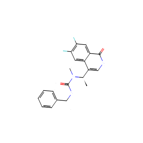 C[C@H](c1c[nH]c(=O)c2cc(F)c(F)cc12)N(C)C(=O)N[C@H](C)c1ccccc1